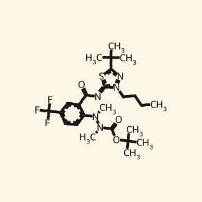 CCCCn1nc(C(C)(C)C)s/c1=N\C(=O)c1cc(C(F)(F)F)ccc1N(C)N(C)C(=O)OC(C)(C)C